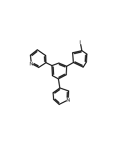 Ic1cccc(-c2cc(-c3cccnc3)cc(-c3cccnc3)c2)c1